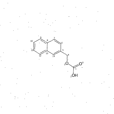 O=C(O)OCc1ccc2ccccc2c1